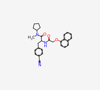 CN(C(=O)C(Cc1ccc(C#N)cc1)NC(=O)COc1cccc2ccccc12)C1CCCC1